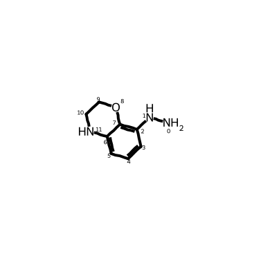 NNc1cccc2c1OCCN2